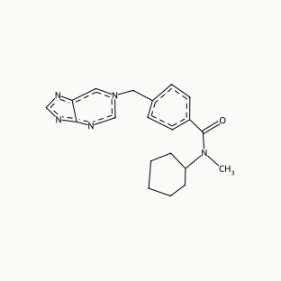 CN(C(=O)c1ccc(Cn2cnc3ncnc-3c2)cc1)C1CCCCC1